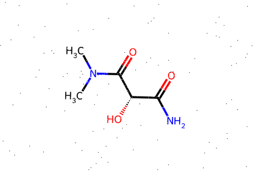 CN(C)C(=O)[C@@H](O)C(N)=O